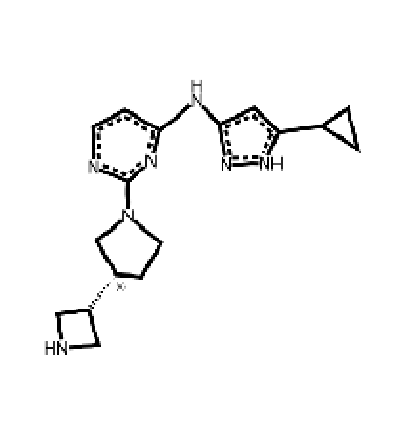 c1cc(Nc2cc(C3CC3)[nH]n2)nc(N2CC[C@H](C3CNC3)C2)n1